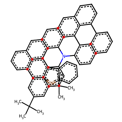 CC(C)(C)c1cc(-c2cccc3cccc(-c4ccccc4N(c4ccccc4-c4cccc5cccc(-c6ccccc6)c45)c4ccccc4-c4cccc5sc6ccccc6c45)c23)cc(C(C)(C)C)c1